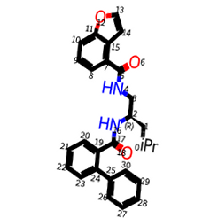 CC(C)C[C@H](CNC(=O)c1cccc2occc12)NC(=O)c1ccccc1-c1ccccc1